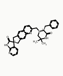 CC1(C)CN(Cc2ccc3cc4c(cc3n2)C[C@]2(C4)C(=O)Nc3ncccc32)[C@@H](Cc2ccccc2)C(=O)N1